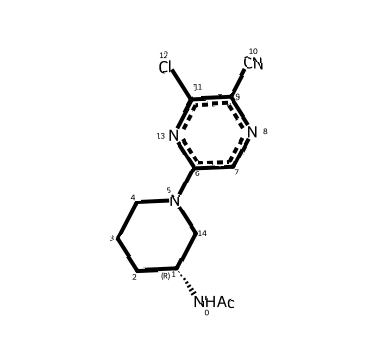 CC(=O)N[C@@H]1CCCN(c2cnc(C#N)c(Cl)n2)C1